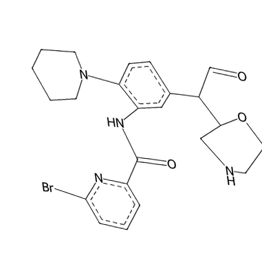 O=CC(c1ccc(N2CCCCC2)c(NC(=O)c2cccc(Br)n2)c1)C1CNCCO1